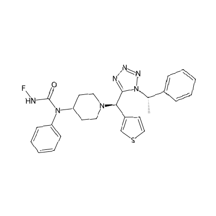 C[C@@H](c1ccccc1)n1nnnc1[C@@H](c1ccsc1)N1CCC(N(C(=O)NF)c2ccccc2)CC1